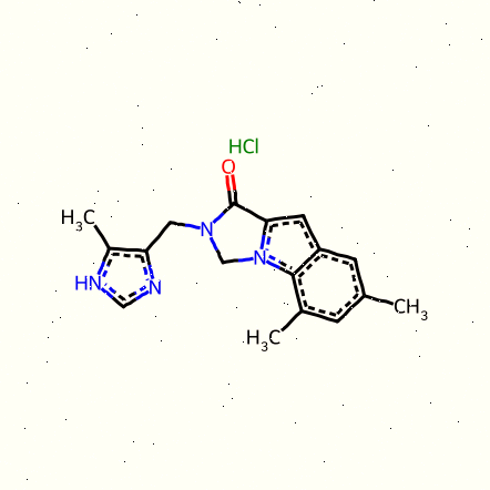 Cc1cc(C)c2c(c1)cc1n2CN(Cc2nc[nH]c2C)C1=O.Cl